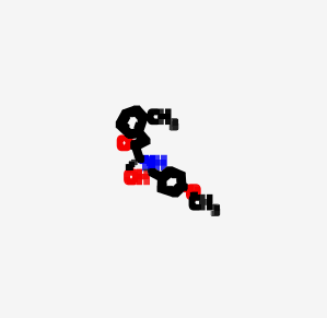 COc1ccc(CN[C@H](CO)c2cc3c(C)cccc3o2)cc1